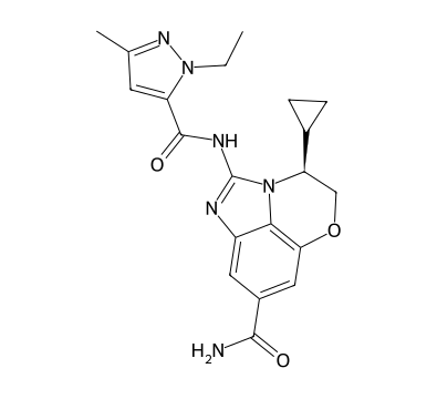 CCn1nc(C)cc1C(=O)Nc1nc2cc(C(N)=O)cc3c2n1[C@@H](C1CC1)CO3